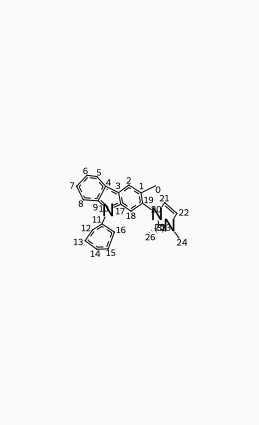 Cc1cc2c3ccccc3n(-c3ccccc3)c2cc1N1C=CN(C)[C@@H]1C